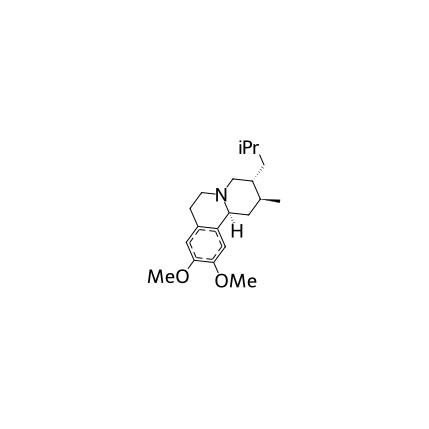 COc1cc2c(cc1OC)[C@@H]1C[C@H](C)[C@@H](CC(C)C)CN1CC2